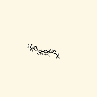 Nc1nccn2c([C@@H]3CCCN(C(=O)C(F)(F)F)C3)nc(-c3ccc(C(=O)Nc4cc(C(F)(F)F)ccn4)cc3)c12